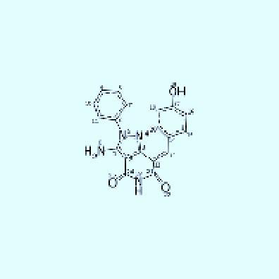 Nc1c2c(nn1-c1ccccc1)/C(=C\c1ccc(O)cc1)C(=O)NC2=O